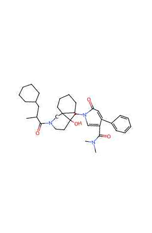 CC(CC1CCCCC1)C(=O)N1CCC(O)(Cn2cc(C(=O)N(C)C)c(-c3ccccc3)cc2=O)C2(CCCCC2)C1